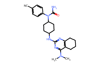 CN(C)c1nc(NC2CCC(N(C(N)=O)c3ccc(C#N)cc3)CC2)nc2c1CCCC2